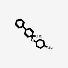 CC(C)(C)C1CCC(OC2(C=O)C=CC(c3ccccc3)C=C2)CC1